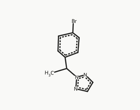 CC(c1ccc(Br)cc1)n1nccn1